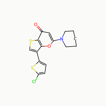 O=c1cc(N2CCCCC2)oc2c(-c3ccc(Cl)s3)csc12